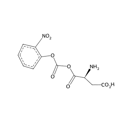 N[C@@H](CC(=O)O)C(=O)OC(=O)Oc1ccccc1[N+](=O)[O-]